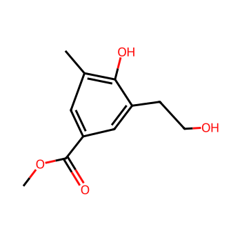 COC(=O)c1cc(C)c(O)c(CCO)c1